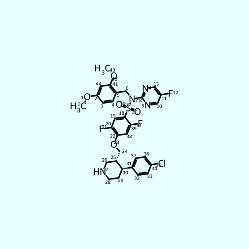 COc1ccc(CN(c2ncc(F)cn2)S(=O)(=O)c2cc(F)c(OC[C@H]3CNCC[C@@H]3c3ccc(Cl)cc3)cc2F)c(OC)c1